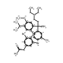 CCN(CC)CCC(N)(c1cccc(C)c1)c1cc(OC)c(C(C)C)cc1Oc1c(Br)cc(CC(=O)O)cc1Br